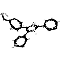 NCc1ccc(-c2[nH]c(-c3ccccc3)nc2-c2ccncc2)cc1